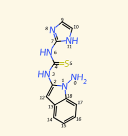 Nn1c(NC(=S)Nc2ncc[nH]2)cc2ccccc21